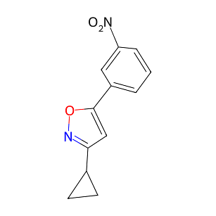 O=[N+]([O-])c1cccc(-c2cc(C3CC3)no2)c1